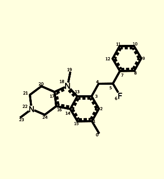 Cc1cc(CC(F)c2ccccc2)c2c(c1)c1c(n2C)CCN(C)C1